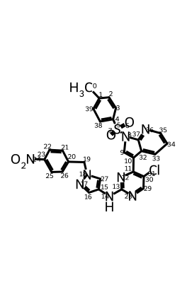 Cc1ccc(S(=O)(=O)n2cc(-c3nc(Nc4cnn(Cc5ccc([N+](=O)[O-])cc5)c4)ncc3Cl)c3cccnc32)cc1